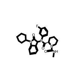 CNC(=O)N1CCCC[C@@H]1C(=O)N(c1cccc(F)c1)C1C(=O)N(C2CCCCC2)c2ccccc21